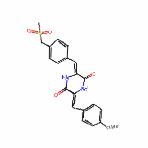 COc1ccc(C=c2[nH]c(=O)c(=Cc3ccc(CS(C)(=O)=O)cc3)[nH]c2=O)cc1